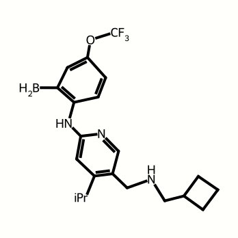 Bc1cc(OC(F)(F)F)ccc1Nc1cc(C(C)C)c(CNCC2CCC2)cn1